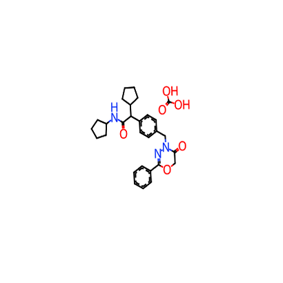 O=C(NC1CCCC1)C(c1ccc(CN2N=C(c3ccccc3)OCC2=O)cc1)C1CCCC1.O=C(O)O